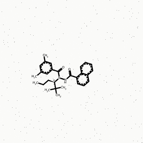 CCC[C@@H](N(NC(=O)c1cccc2ccccc12)C(=O)c1cc(C)cc(C)c1)C(C)(C)C